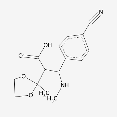 CNC(c1ccc(C#N)cc1)C(C(=O)O)C1(C)OCCO1